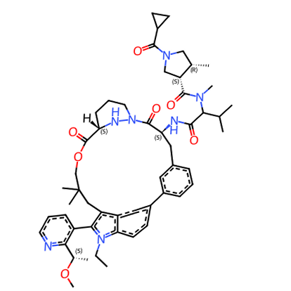 CCn1c(-c2cccnc2[C@H](C)OC)c2c3cc(ccc31)-c1cccc(c1)C[C@H](NC(=O)C(C(C)C)N(C)C(=O)[C@@H]1CN(C(=O)C3CC3)C[C@@H]1C)C(=O)N1CCC[C@H](N1)C(=O)OCC(C)(C)C2